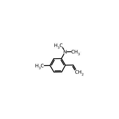 C=Cc1ccc(C)cc1N(C)C